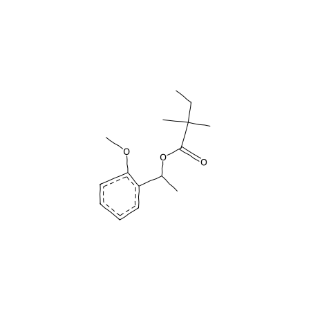 CCC(C)(C)C(=O)OC(C)c1ccccc1OC